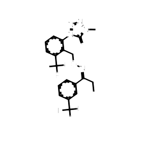 CCC(=NOCc1c(-n2nnn(C)c2=O)cccc1C(F)(F)F)c1cccc(C(F)(F)F)c1